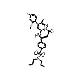 CCCN(CCC)S(=O)(=O)c1ccc(C2=CC(=O)N3N=C(C)C(c4ccc(F)cc4F)=CC3N2)cc1